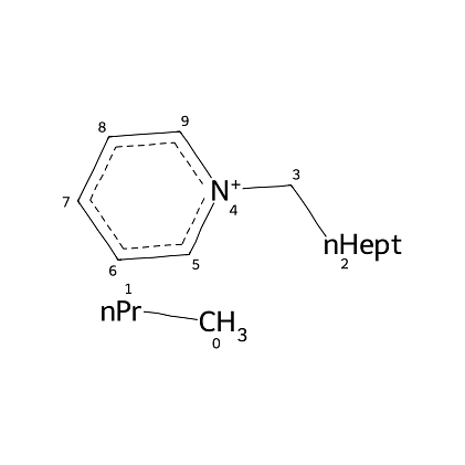 CCCC.CCCCCCCC[n+]1ccccc1